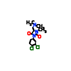 CN(C)C=C1C(=O)N(c2ccc(Cl)c(Cl)c2)C(=O)N1C